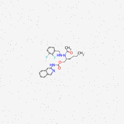 [CH2]CCC[C@@H](COC(=O)Nc1cc2ccccc2cn1)N(NCc1cccc(F)c1F)C(C)=O